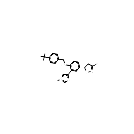 Cn1cnc(-c2cc([C@@H]3CC(Br)=NO3)ccc2NCc2ccc(C(F)(F)F)cc2)c1